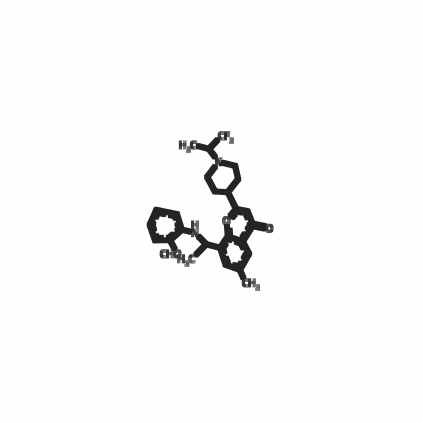 Cc1cc(C(C)Nc2ccccc2C=O)c2oc(C3CCN(C(C)C(F)(F)F)CC3)cc(=O)c2c1